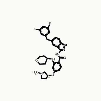 CN1CC[C@H](Oc2ccc(C(=O)Nc3n[nH]c4ccc(Cc5cc(F)cc(F)c5)cc34)c(NC3CCOCC3)c2)C1